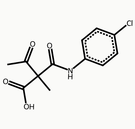 CC(=O)C(C)(C(=O)O)C(=O)Nc1ccc(Cl)cc1